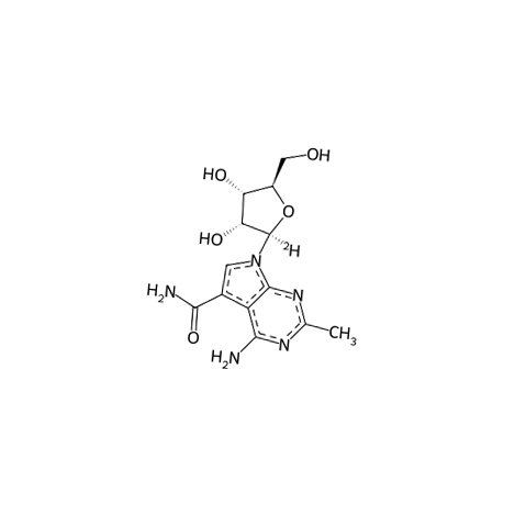 [2H][C@@]1(n2cc(C(N)=O)c3c(N)nc(C)nc32)O[C@H](CO)[C@@H](O)[C@H]1O